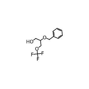 OCC(COC(F)(F)F)OCc1ccccc1